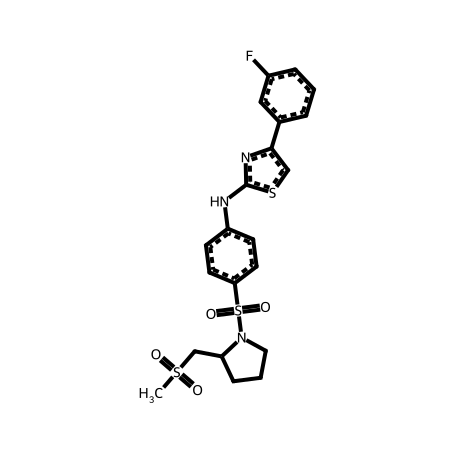 CS(=O)(=O)CC1CCCN1S(=O)(=O)c1ccc(Nc2nc(-c3cccc(F)c3)cs2)cc1